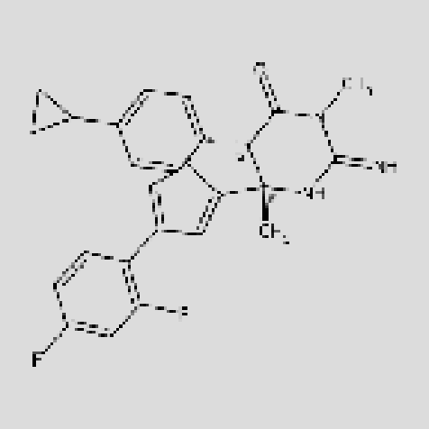 CN1C(=N)N[C@](C)(c2cc(-c3ccc(F)cc3F)cs2)[C@H](c2ccc(C3CC3)cc2)C1=O